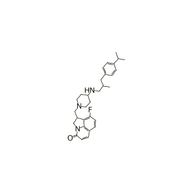 CC(CNC1CCN(CC2Cn3c(=O)ccc4ccc(F)c2c43)CC1)Cc1ccc(C(C)C)cc1